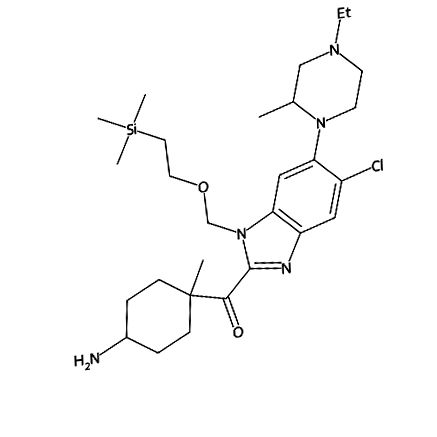 CCN1CCN(c2cc3c(cc2Cl)nc(C(=O)C2(C)CCC(N)CC2)n3COCC[Si](C)(C)C)C(C)C1